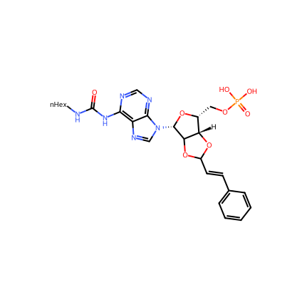 CCCCCCNC(=O)Nc1ncnc2c1ncn2[C@@H]1O[C@H](COP(=O)(O)O)[C@@H]2OC(/C=C/c3ccccc3)OC21